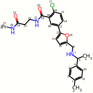 Cc1ccc(C(C)NCc2ccc(-c3ccc(Cl)c(C(=O)NCCC(=O)NC(C)C)c3)o2)cc1